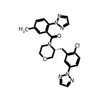 Cc1ccc(-n2nccn2)c(C(=O)N2CCOC[C@H]2Cc2cc(-n3nccn3)ccc2Cl)c1